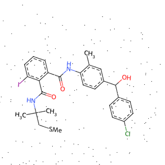 CSCC(C)(C)NC(=O)c1c(I)cccc1C(=O)Nc1ccc(C(O)c2ccc(Cl)cc2)cc1C